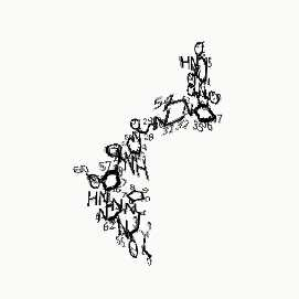 C=CC[C@H]1CN(C2CCCC2)c2nc(Nc3ccc(C(=O)NC4CCN(C(=O)CCN5CCN(c6cccc7c6C(=O)N(C6CCC(=O)NC6=O)C7=O)CC5)CC4)cc3OC)ncc2N(C)C1=O